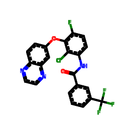 O=C(Nc1ccc(F)c(Oc2ccc3nccnc3c2)c1Cl)c1cccc(C(F)(F)F)c1